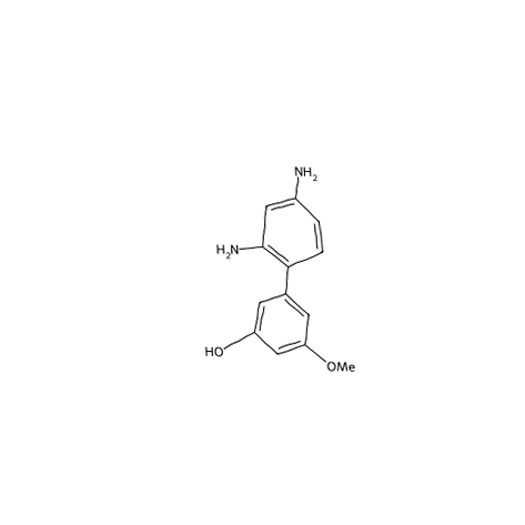 COc1cc(O)cc(-c2ccc(N)cc2N)c1